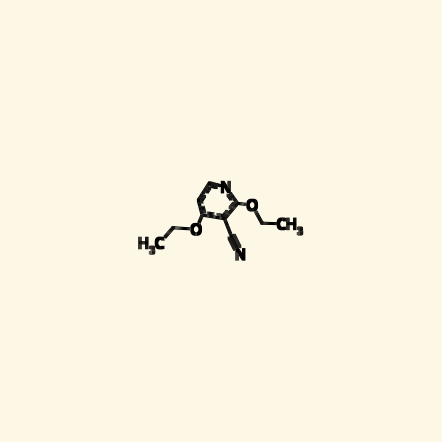 CCOc1ccnc(OCC)c1C#N